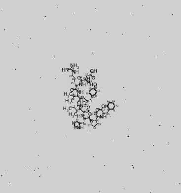 CCC(C)[C@@H](NC(=O)[C@H](Cc1ccc(O)cc1)NC(=O)[C@H](NC(=O)[C@H](CCCNC(=N)N)NC(=O)[C@H](N)CC(=O)O)C(C)C)C(=O)N[C@@H](Cc1cnc[nH]1)C(=O)N1CCCC1C(=O)NC(Cc1ccccc1)C(=O)O